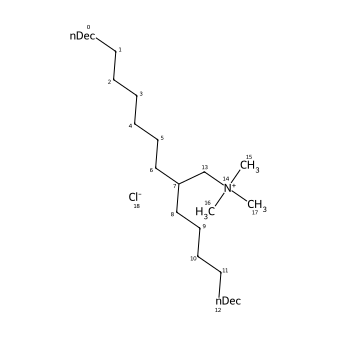 CCCCCCCCCCCCCCCCC(CCCCCCCCCCCCCC)C[N+](C)(C)C.[Cl-]